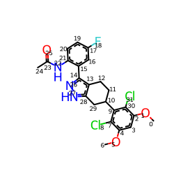 COc1cc(OC)c(Cl)c(C2CCc3c(-c4cc(F)ccc4NC(C)=O)n[nH]c3C2)c1Cl